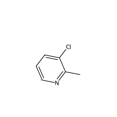 Cc1n[c]ccc1Cl